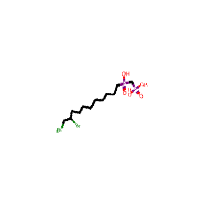 O=P(O)(O)CP(=O)(O)CCCCCCCCCC(Br)CBr